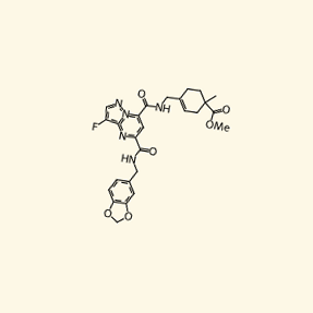 COC(=O)C1(C)CC=C(CNC(=O)c2cc(C(=O)NCc3ccc4c(c3)OCO4)nc3c(F)cnn23)CC1